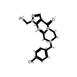 CC(C)Cn1ncc2c(=O)n3c(nc21)CN(Cc1ccc(Cl)cc1)CC3